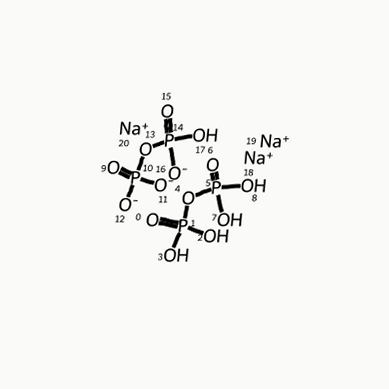 O=P(O)(O)OP(=O)(O)O.O=P([O-])([O-])OP(=O)([O-])O.[Na+].[Na+].[Na+]